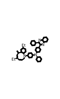 C=C1/C=C(CC)\C=C/CN(c2ccc(N(c3ccccc3)c3ccc(-c4nc5ccccc5nc4-c4ccccc4)cc3)cc2)c2ccc(CC)cc21